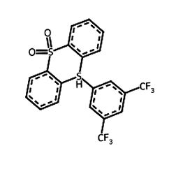 O=S1(=O)c2ccccc2[SH](c2cc(C(F)(F)F)cc(C(F)(F)F)c2)c2ccccc21